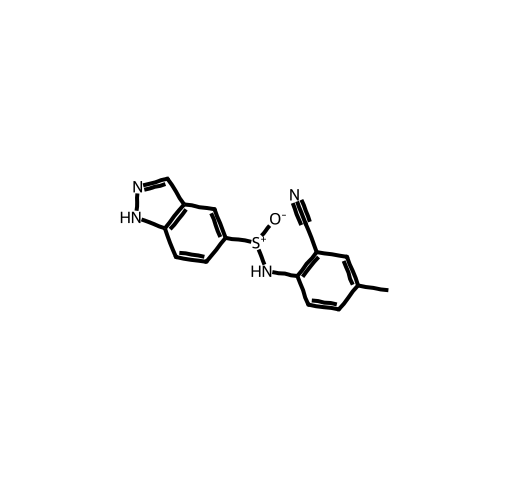 Cc1ccc(N[S+]([O-])c2ccc3[nH]ncc3c2)c(C#N)c1